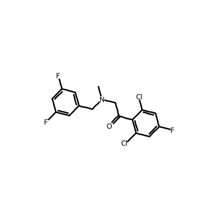 CN(CC(=O)c1c(Cl)cc(F)cc1Cl)Cc1cc(F)cc(F)c1